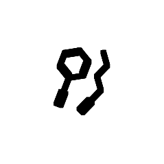 C#CCCCC.C#Cc1ccccc1